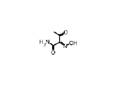 CC(=O)/C(=N\O)C(N)=O